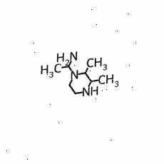 CC1NCCN(C(C)N)C1C